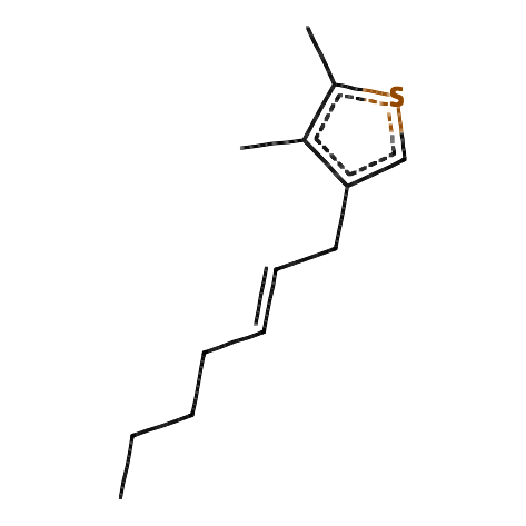 CCCCC=CCc1csc(C)c1C